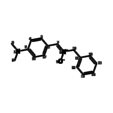 CN(C)c1ccc(C=[N+]([O-])Cc2ccccc2)cc1